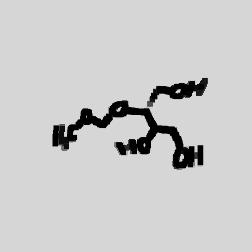 COCO[C@H](CO)C(O)CO